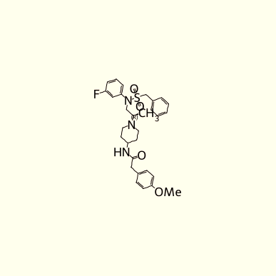 COc1ccc(CC(=O)NC2CCN([C@H](C)CN(c3cccc(F)c3)S(=O)(=O)Cc3ccccc3)CC2)cc1